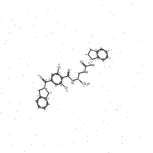 O=C(NC[C@H](NC(=O)c1c(Cl)cc(C(=O)N2Cc3ccccc3C2)cc1Cl)C(=O)O)N[C@@H]1CCc2ccccc21